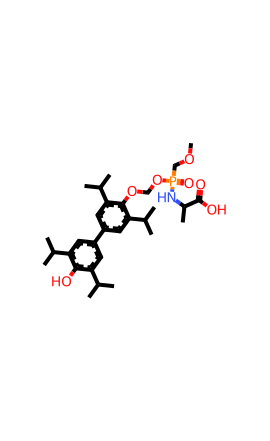 COCP(=O)(NC(C)C(=O)O)OCOc1c(C(C)C)cc(-c2cc(C(C)C)c(O)c(C(C)C)c2)cc1C(C)C